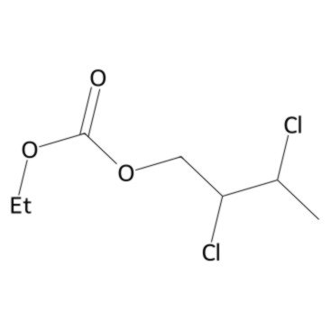 CCOC(=O)OCC(Cl)C(C)Cl